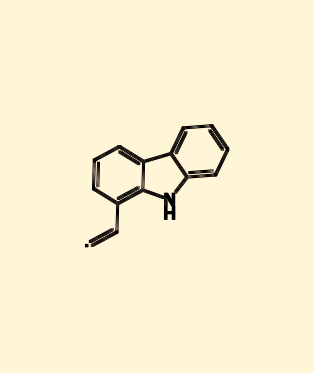 [CH]=Cc1cccc2c1[nH]c1ccccc12